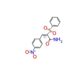 NC(=O)/C(=C\c1ccc([N+](=O)[O-])cc1)S(=O)(=O)c1ccccc1